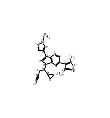 Cc1noc(C)c1-c1cnc2c(-c3cnn(C)c3)cn(C(CC#N)C3CC3)c2c1